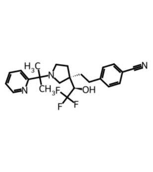 CC(C)(c1ccccn1)N1CC[C@@](CCc2ccc(C#N)cc2)([C@@H](O)C(F)(F)F)C1